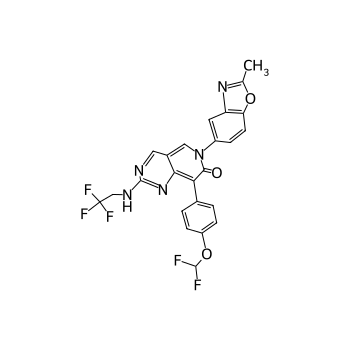 Cc1nc2cc(-n3cc4cnc(NCC(F)(F)F)nc4c(-c4ccc(OC(F)F)cc4)c3=O)ccc2o1